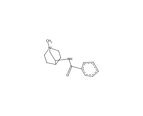 C[N+]12CCC(CC1)C(NC(=O)c1ccccc1)C2